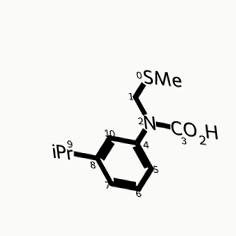 CSCN(C(=O)O)c1cccc(C(C)C)c1